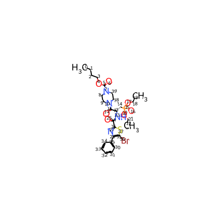 CCCCOC(=O)N1CCN(C(=O)[C@H](CP(=O)(OCC)OCC)NC(=O)c2nc(-c3ccccc3)c(Br)s2)CC1